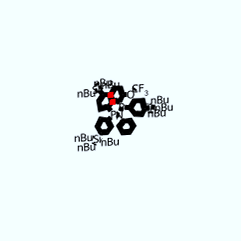 CCCC[Si](CCCC)(CCCC)c1ccc(P(c2ccc([Si](CCCC)(CCCC)CCCC)cc2)N(c2ccccc2)P(c2ccc([Si](CCCC)(CCCC)CCCC)cc2)c2ccccc2OC(F)(F)F)cc1